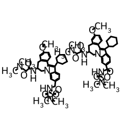 COc1ccc2c(c1)CC(NC(=O)C(=O)N(C)C)Cn1c-2c(C2CCCCC2)c2ccc(C(=O)NS(=O)(=O)N(C)C)cc21.COc1ccc2c(c1)CC(NC(=O)C(=O)N(C)C)Cn1c-2c(C2CCCCC2)c2ccc(C(=O)NS(=O)(=O)N(C)C)cc21